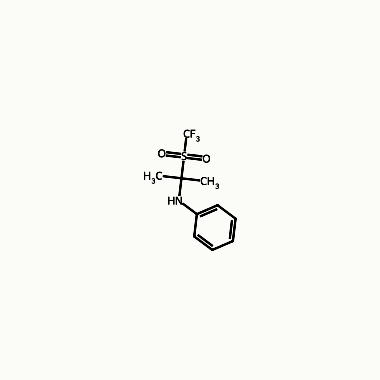 CC(C)(Nc1ccccc1)S(=O)(=O)C(F)(F)F